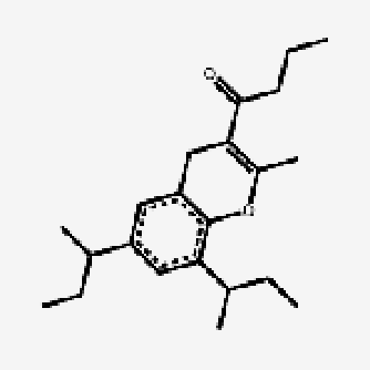 CCCC(=O)C1=C(C)Oc2c(cc(C(C)CC)cc2C(C)CC)C1